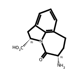 N[C@H]1CCc2cccc3c2N(C1=O)[C@H](C(=O)O)C3